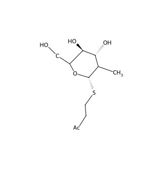 CC(=O)CCS[C@@H]1OC(CO)[C@@H](O)[C@H](O)C1C